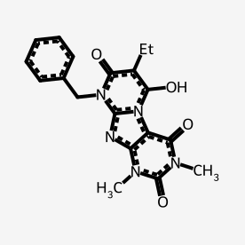 CCc1c(O)n2c3c(=O)n(C)c(=O)n(C)c3nc2n(Cc2ccccc2)c1=O